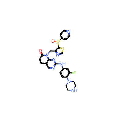 O=c1ccc2cnc(Nc3ccc(N4CCNCC4)c(F)c3)nc2n1Cc1ncsc1[S+]([O-])c1ccncc1